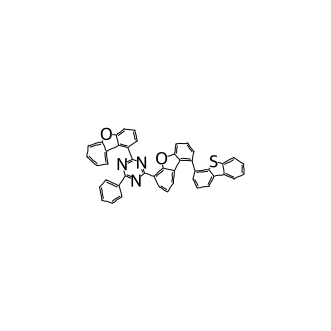 c1ccc(-c2nc(-c3cccc4c3oc3cccc(-c5cccc6c5sc5ccccc56)c34)nc(-c3cccc4oc5ccccc5c34)n2)cc1